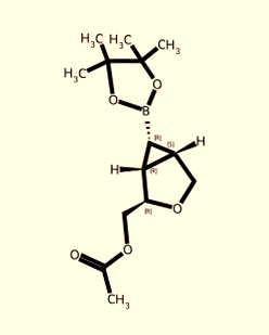 CC(=O)OC[C@@H]1OC[C@H]2[C@@H](B3OC(C)(C)C(C)(C)O3)[C@H]21